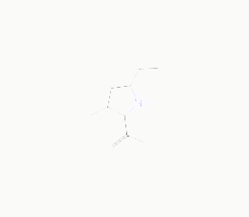 C=C(C)C1NC(CC)CC1C